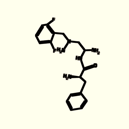 NC(CN(N)Cc1c(F)cccc1F)NC(=O)[C@H](N)Cc1ccccc1